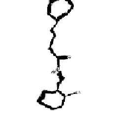 CC[C@H]1CCCC[C@H]1CNC(=O)CCCc1ccccc1